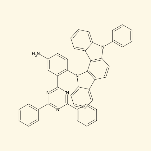 Nc1ccc(-n2c3ccccc3c3ccc4c(c5ccccc5n4-c4ccccc4)c32)c(-c2nc(-c3ccccc3)nc(-c3ccccc3)n2)c1